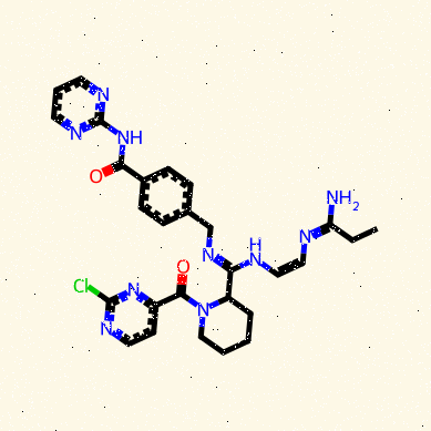 CC/C(N)=N\C=C/N/C(=N\Cc1ccc(C(=O)Nc2ncccn2)cc1)C1CCCCN1C(=O)c1ccnc(Cl)n1